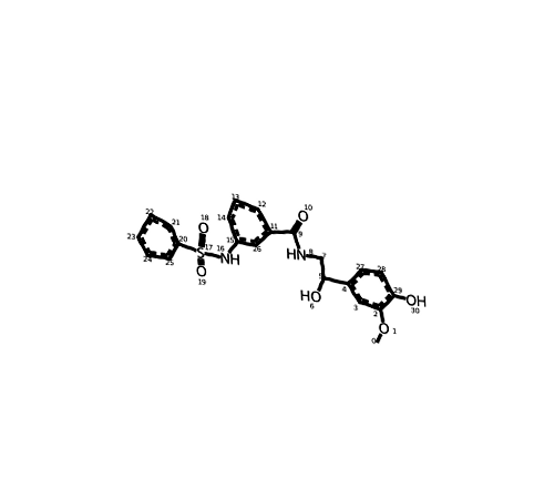 COc1cc(C(O)CNC(=O)c2cccc(NS(=O)(=O)c3ccccc3)c2)ccc1O